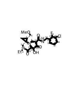 CCN1C[C@@]2(C[C@@H]2COC)n2cc(C(=O)NCc3cccc(Cl)c3F)c(=O)c(O)c2C1=O